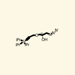 CC(C)[Si](C#CCOC[C@@H](O)CN=[N+]=[N-])(C(C)C)C(C)C